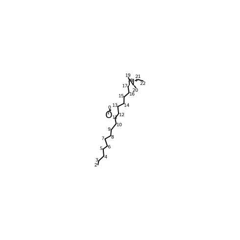 C=O.CCCCCCCCCCCCCCCC[N+](C)(C)CC